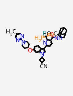 Cc1cnc(N2CCC(Oc3ccc4c(-c5ccc(C(=O)NC6(C(=O)O)C7CC8CC(C7)CC6C8)c(C(F)(P)P)n5)cn(C5CC(C#N)C5)c4c3)CC2)nc1